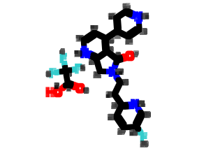 O=C(O)C(F)(F)F.O=C1c2c(-c3ccncc3)ccnc2CN1CCc1ccc(F)cn1